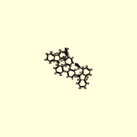 N#Cc1ccc(-c2cccc(-n3c4ccccc4c4cccc(C#N)c43)c2)c(-c2ccccc2-n2c3ccccc3c3ccccc32)c1